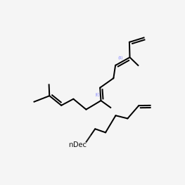 C=C/C(C)=C/C/C=C(\C)CCC=C(C)C.C=CCCCCCCCCCCCCCC